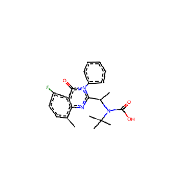 Cc1ccc(F)c2c(=O)n(-c3ccccc3)c(C(C)N(C(=O)O)C(C)(C)C)nc12